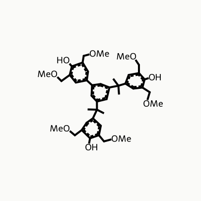 COCc1cc(-c2cc(C(C)(C)c3cc(COC)c(O)c(COC)c3)cc(C(C)(C)c3cc(COC)c(O)c(COC)c3)c2)cc(COC)c1O